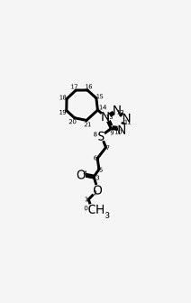 CCOC(=O)CCCSc1nnnn1C1CCCCCCC1